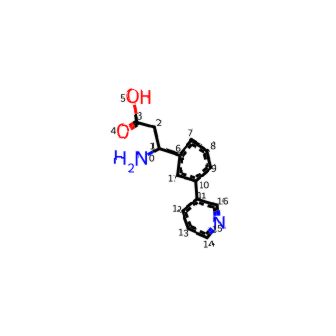 NC(CC(=O)O)c1cccc(-c2cccnc2)c1